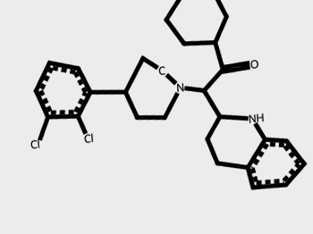 O=C(C1CCCCC1)C(C1CCc2ccccc2N1)N1CCC(c2cccc(Cl)c2Cl)CC1